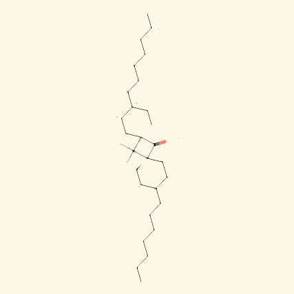 CCCCCCCC1CC[C@]2(CC1)C(=O)[C@@]1(CCC(CCCCCCC)CC1)C2(Cl)Cl